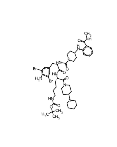 CNC(=O)c1ccccc1NC1CCN(C(=O)N[C@H](Cc2cc(Br)c(N)c(Br)c2)C(=O)N[C@@H](CCCCNC(=O)OC(C)(C)C)C(=O)N2CCC(N3CCCCC3)CC2)CC1